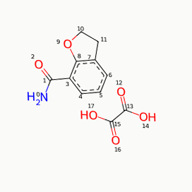 NC(=O)c1cccc2c1OCC2.O=C(O)C(=O)O